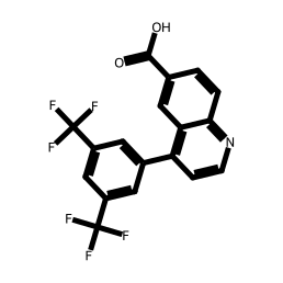 O=C(O)c1ccc2nccc(-c3cc(C(F)(F)F)cc(C(F)(F)F)c3)c2c1